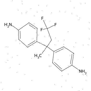 CC(CC(F)(F)F)(c1ccc(N)cc1)c1ccc(N)cc1